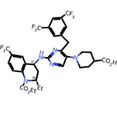 CCOC(=O)N1c2ccc(C(F)(F)F)cc2[C@@H](Nc2ncc(N3CCC(C(=O)O)CC3)c(Cc3cc(C(F)(F)F)cc(C(F)(F)F)c3)n2)C[C@H]1CC